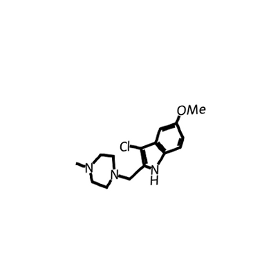 COc1ccc2[nH]c(CN3CCN(C)CC3)c(Cl)c2c1